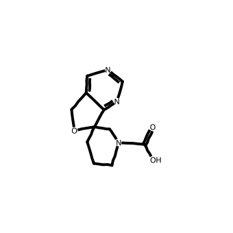 O=C(O)N1CCCC2(C1)OCc1cncnc12